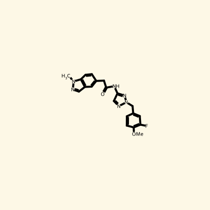 COc1ccc(Cn2ncc(NC(=O)Cc3ccc4c(cnn4C)c3)n2)cc1F